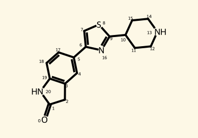 O=C1Cc2cc(-c3csc(C4CCNCC4)n3)ccc2N1